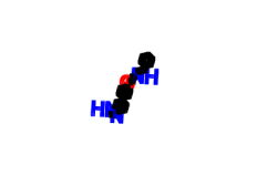 c1nc2ccc(-c3ccc(OCCNCCC4CCCCC4)cc3)cc2[nH]1